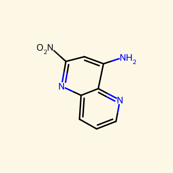 Nc1cc([N+](=O)[O-])nc2cccnc12